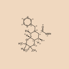 CC[C@@H]1[C@H]2OC(C)(C)C(C)(C)O[C@@H]2[C@H](F)[C@@H](C(=O)NC)N1Cc1ccccc1